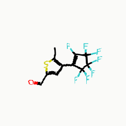 Cc1sc(C=O)cc1C1=C(F)C(F)(F)C(F)(F)C1(F)F